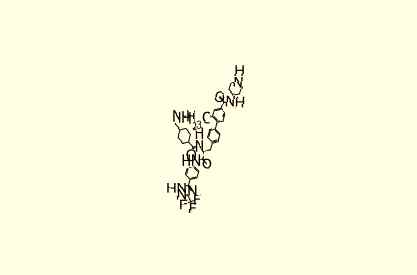 Cc1cc(C(=O)NC2CCNCC2)ccc1-c1ccc(C[C@H](NC(=O)C2CCC(CN)CC2)C(=O)Nc2ccc(-c3nc(C(F)(F)F)n[nH]3)cc2)cc1